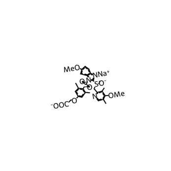 COc1ccc2nc([S+]([O-])Cc3ncc(C)c(OC)c3C)n(S(=O)(=O)c3c(C)cc(OCC(=O)[O-])cc3C)c2c1.[Na+]